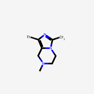 CCc1nc(C(F)(F)F)n2c1CN(C)CC2